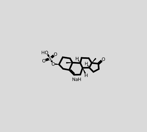 C[C@]12CC[C@H](OS(=O)(=O)O)CC1=CC[C@@H]1[C@@H]2CC[C@]2(C)C(=O)CC[C@@H]12.[NaH]